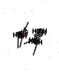 C=C1C=C(P(O)(O)(O)c2ccccc2CCCCCCCCCCCC)C(CCCCCCCCCCCC)=C(c2cc(C)cc(C)c2C)C1c1cc(C)cc(C)c1C.C=C1C=C(P(O)(O)(Oc2ccccc2CCCCCCCCCCCC)c2ccccc2CCCCCCCCCCCC)C(CCCCCCCCCCCC)=C(c2cc(C)cc(C)c2C)C1c1cc(C)cc(C)c1C.OP(O)O